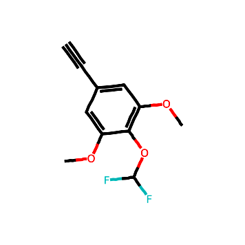 C#Cc1cc(OC)c(OC(F)F)c(OC)c1